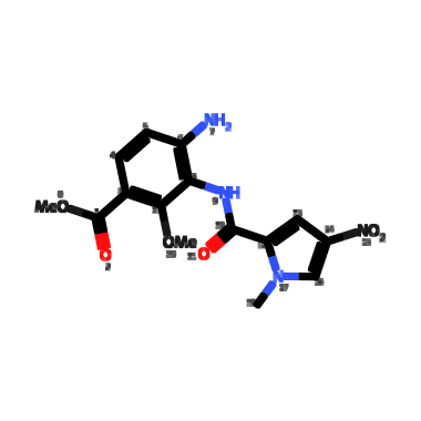 COC(=O)c1ccc(N)c(NC(=O)c2cc([N+](=O)[O-])cn2C)c1OC